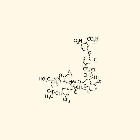 CCc1cccc(C)c1N(C(=O)CCl)C(C)COC.CP(=O)(O)CCC(N)C(=O)O.CS(=O)(=O)c1cc(C(F)(F)F)ccc1C(=O)c1cnoc1C1CC1.O=C(O)c1cc(Oc2ccc(C(F)(F)F)cc2Cl)ccc1[N+](=O)[O-]